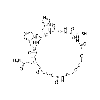 NC(=O)CC[C@@H]1NC(=O)[C@H](Cc2cnc[nH]2)NC(=O)[C@H](Cc2cnc[nH]2)NC(=O)CNC(=O)[C@H](CS)NC(=O)COCCOCCNC(=O)CNC2OC21